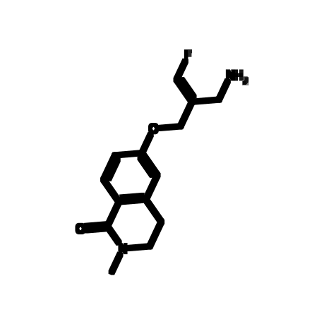 CN1CCc2cc(OCC(=CF)CN)ccc2C1=O